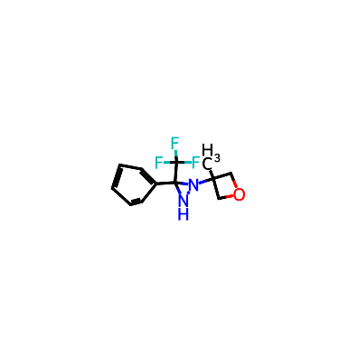 CC1(N2NC2(c2ccccc2)C(F)(F)F)COC1